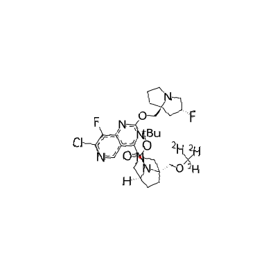 [2H]C([2H])([2H])OC[C@@]12CC[C@@H](CN(c3nc(OC[C@@]45CCCN4C[C@H](F)C5)nc4c(F)c(Cl)ncc34)C1)N2C(=O)OC(C)(C)C